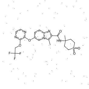 Cc1c(C(=O)NC2(C)CCS(=O)(=O)CC2)nc2ccc(Oc3nccnc3OCC(F)(F)F)cn12